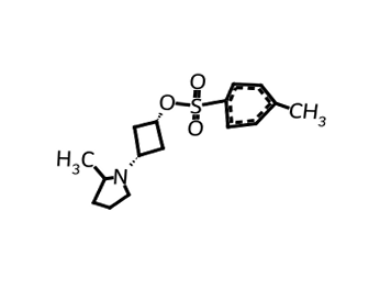 Cc1ccc(S(=O)(=O)O[C@H]2C[C@@H](N3CCCC3C)C2)cc1